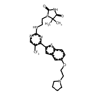 CC1(C)C(=O)NC(=O)N1CCNc1ncc(C(F)(F)F)c(-c2cc3cc(OCCN4CCCC4)ccc3s2)n1